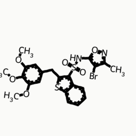 COc1cc(Cc2sc3ccccc3c2S(=O)(=O)Nc2onc(C)c2Br)cc(OC)c1OC